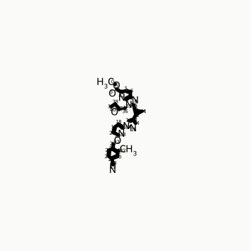 COC(=O)c1ccc2nc(C3CC3c3cnn(-c4cccc(OCc5ccc(C#N)cc5C)n4)c3)n(C[C@@H]3CCO3)c2n1